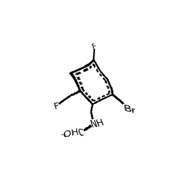 O=[C]Nc1c(F)cc(F)cc1Br